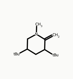 C=C1C(C(C)(C)C)CC(C(C)(C)C)CN1C